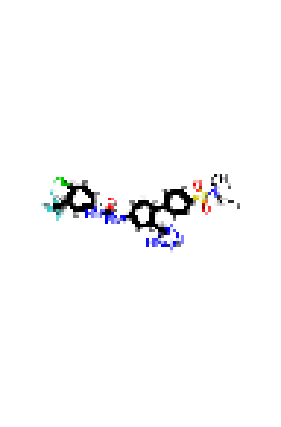 CN(C)S(=O)(=O)c1ccc(-c2ccc(NC(=O)Nc3ccc(Cl)c(C(F)(F)F)c3)cc2-c2nnn[nH]2)cc1